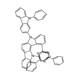 c1ccc(-c2nc(-c3ccccc3)nc(-c3cccc4c3c3c(ccc5c6ccccc6n(-c6ccccc6)c53)n4-c3ccc4c5ccccc5n(-c5ccccc5)c4c3)n2)cc1